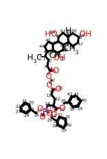 C[C@H](CCC(=O)OCOC(=O)CCC(CP(=O)(OCc1ccccc1)OCc1ccccc1)C(=O)OCc1ccccc1)C1CCC2C3C(C[C@H](O)[C@@]21C)[C@@]1(C)CC[C@@H](O)C[C@H]1C[C@H]3O